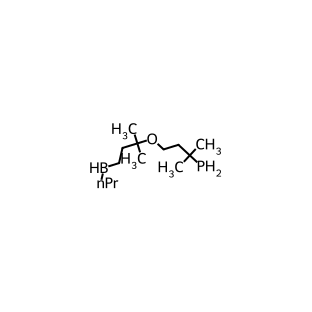 CCCBCCC(C)(C)OCCC(C)(C)P